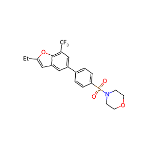 CCc1cc2cc(-c3ccc(S(=O)(=O)N4CCOCC4)cc3)cc(C(F)(F)F)c2o1